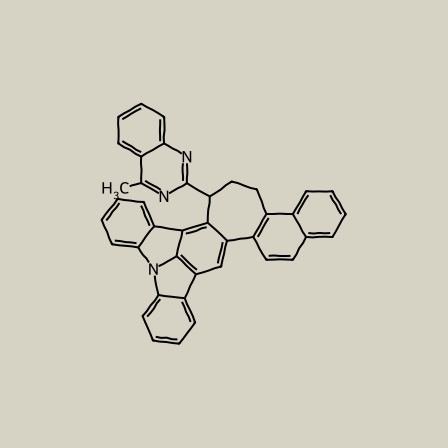 Cc1nc(C2CCc3c(ccc4ccccc34)-c3cc4c5ccccc5n5c6ccccc6c(c32)c45)nc2ccccc12